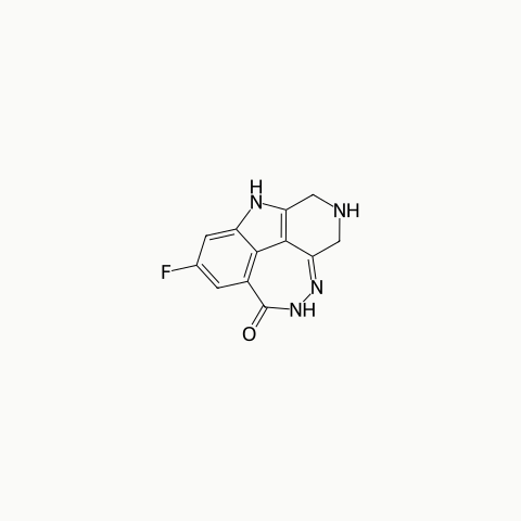 O=C1NN=C2CNCc3[nH]c4cc(F)cc1c4c32